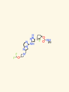 CC(C)NC(=O)O[C@H]1CC[C@@H](c2cc(Nc3nccc4nc(CN5CC(OC(F)F)C5)cn34)n[nH]2)[C@@H]1F